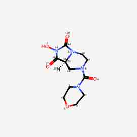 O=C(N1CCOCC1)N1CCN2C(=O)N(O)C(=O)[C@@H]2C1